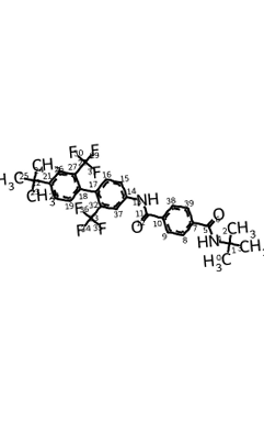 CC(C)(C)NC(=O)c1ccc(C(=O)Nc2ccc(-c3ccc(C(C)(C)C)cc3C(F)(F)F)c(C(F)(F)F)c2)cc1